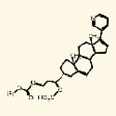 CC(C)OC(=O)OCCC(OC(=O)O)[C@H]1CC[C@@]2(C)C(=CCC3C2CC[C@]2(C)C(c4cccnc4)=CCC32)C1